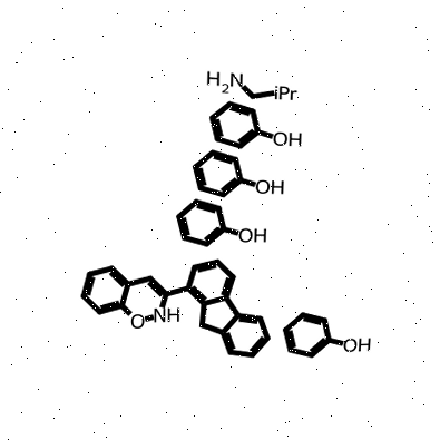 C1=C(c2cccc3c2Cc2ccccc2-3)NOc2ccccc21.CC(C)CN.Oc1ccccc1.Oc1ccccc1.Oc1ccccc1.Oc1ccccc1